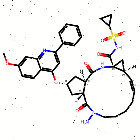 COc1ccc2c(O[C@@H]3C[C@H]4C(=O)N[C@]5(C(=O)NS(=O)(=O)C6CC6)C[C@H]5/C=C\CCCCN(N)C(=O)[C@@H]4C3)cc(-c3ccccc3)nc2c1